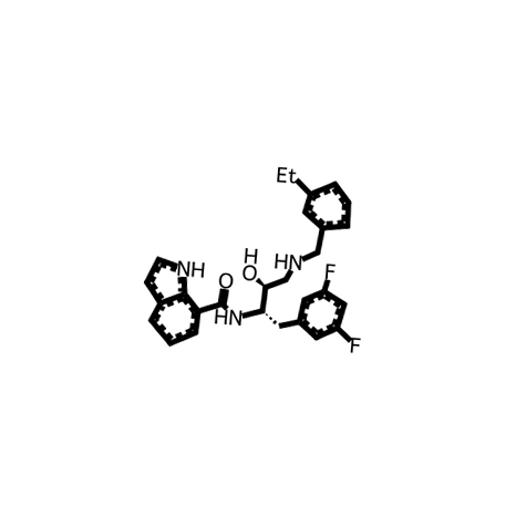 CCc1cccc(CNC[C@H](O)[C@H](Cc2cc(F)cc(F)c2)NC(=O)c2cccc3cc[nH]c23)c1